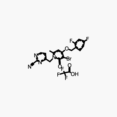 Cc1cc(OCc2ccc(F)cc2F)c(Br)c(=O)n1Cc1ccnc(C#N)n1.O=C(O)C(F)(F)F